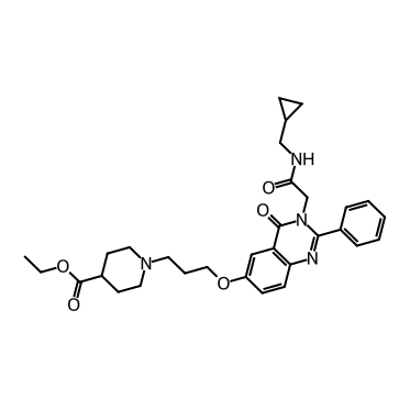 CCOC(=O)C1CCN(CCCOc2ccc3nc(-c4ccccc4)n(CC(=O)NCC4CC4)c(=O)c3c2)CC1